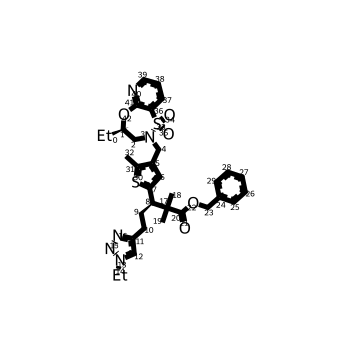 CC[C@@H]1CN(Cc2cc([C@H](CCc3cn(CC)nn3)C(C)(C)C(=O)OCc3ccccc3)sc2C)S(=O)(=O)c2cccnc2O1